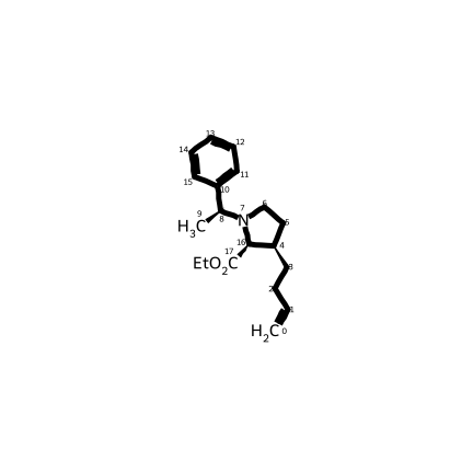 C=CCC[C@@H]1CCN([C@@H](C)c2ccccc2)[C@@H]1C(=O)OCC